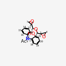 C(OCC1CO1)C1CO1.CC(=O)N(c1ccccc1)c1ccccc1O